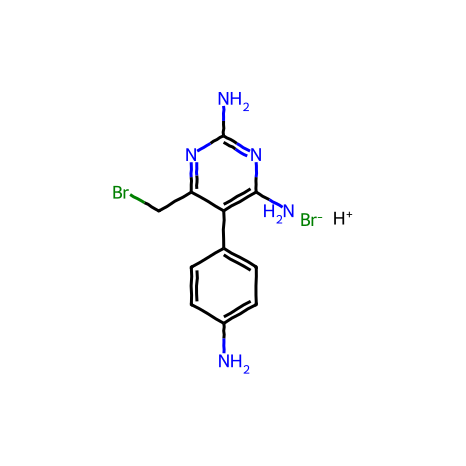 Nc1ccc(-c2c(N)nc(N)nc2CBr)cc1.[Br-].[H+]